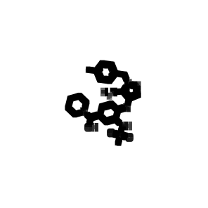 Cc1ccc(Cn2ncc(N=C3C=CC(=C(O)N4CCCCC4)C=C3NS(C)(=O)=O)c2N)cc1